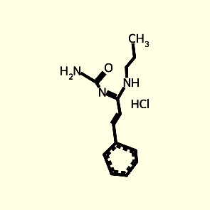 CCCNC(C=Cc1ccccc1)=NC(N)=O.Cl